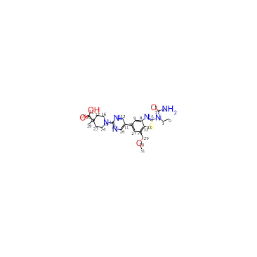 CCN(C(N)=O)c1nc2cc(-c3cnc(N4CCC(C)(C(=O)O)CC4)nc3)cc(COC)c2s1